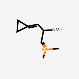 CNC(C=C1CC1)C=[PH](C)C